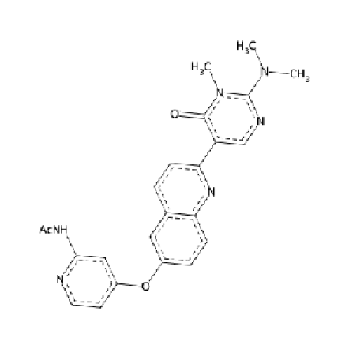 CC(=O)Nc1cc(Oc2ccc3nc(-c4cnc(N(C)C)n(C)c4=O)ccc3c2)ccn1